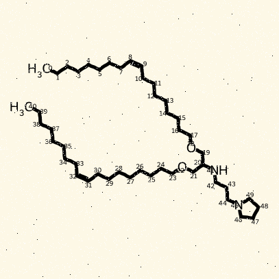 CCCCCCCC/C=C\CCCCCCCCOCC(COCCCCCCCC/C=C\CCCCCCCC)NCCCN1CCCC1